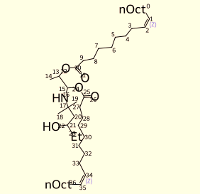 CCCCCCCC/C=C\CCCCCCCC(=O)OC(C)C(NC(C)(C)CC(O)CC)OC(=O)CCCCCCC/C=C\CCCCCCCC